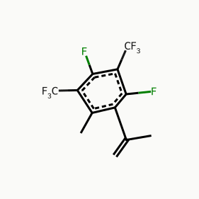 C=C(C)c1c(C)c(C(F)(F)F)c(F)c(C(F)(F)F)c1F